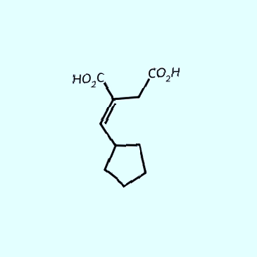 O=C(O)CC(=CC1CCCC1)C(=O)O